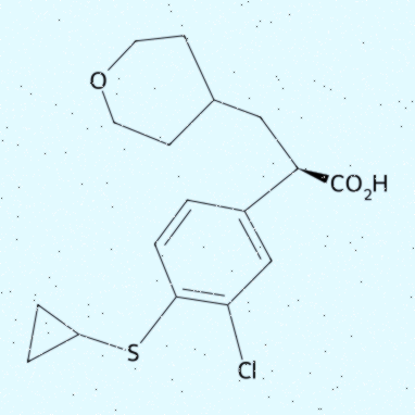 O=C(O)[C@H](CC1CCOCC1)c1ccc(SC2CC2)c(Cl)c1